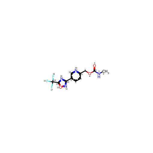 CNC(=O)OCc1ccc(-c2noc(C(F)(F)F)n2)cn1